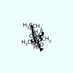 C=C(/C=C\C=C/C)C[C@H](NC(=O)[C@H](CC(C)C)NC(=O)OCCOC(C)C)C(=O)C(=O)NC1CC1